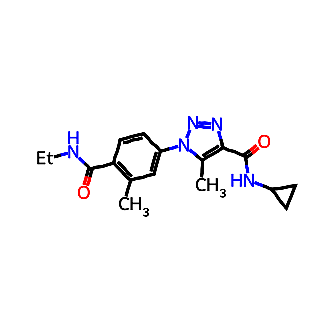 CCNC(=O)c1ccc(-n2nnc(C(=O)NC3CC3)c2C)cc1C